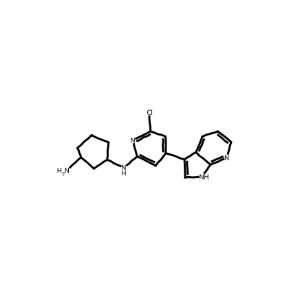 NC1CCCC(Nc2cc(-c3c[nH]c4ncccc34)cc(Cl)n2)C1